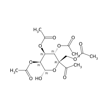 CC(=O)OC[C@@]1(C(C)=O)O[C@H](O)[C@@H](OC(C)=O)[C@@H](OC(C)=O)[C@@H]1OC(C)=O